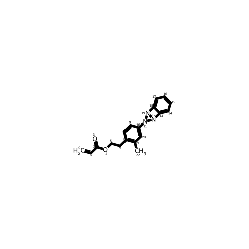 C=CC(=O)OCCc1ccc(-n2n3c4ccccc4n23)cc1C